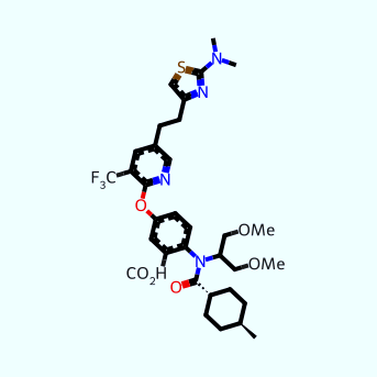 COCC(COC)N(c1ccc(Oc2ncc(CCc3csc(N(C)C)n3)cc2C(F)(F)F)cc1C(=O)O)C(=O)[C@H]1CC[C@H](C)CC1